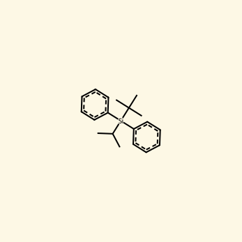 CC(C)[Si](c1ccccc1)(c1ccccc1)C(C)(C)C